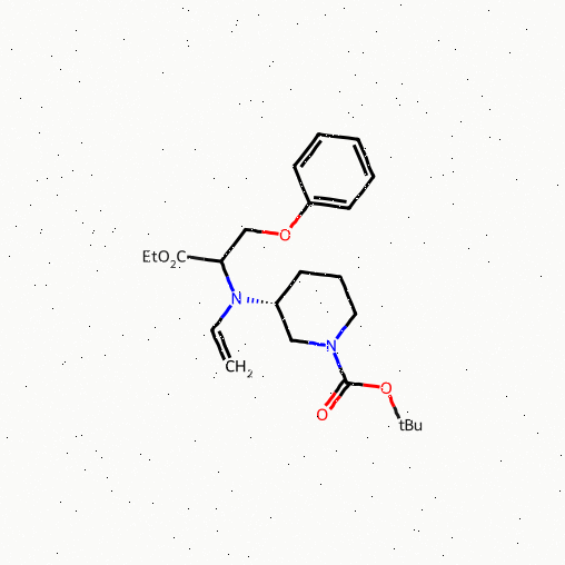 C=CN(C(COc1ccccc1)C(=O)OCC)[C@@H]1CCCN(C(=O)OC(C)(C)C)C1